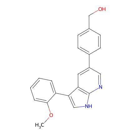 COc1ccccc1-c1c[nH]c2ncc(-c3ccc(CO)cc3)cc12